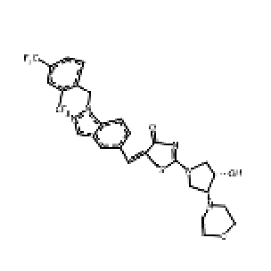 O=C1N=C(N2C[C@H](O)[C@@H](N3CCOCC3)C2)S/C1=C/c1ccc2c(cnn2Cc2ccc(C(F)(F)F)cc2C(F)(F)F)c1